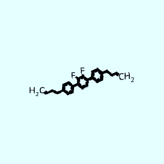 C=CCCc1ccc(-c2ccc(-c3ccc(CCC=C)cc3)c(F)c2F)cc1